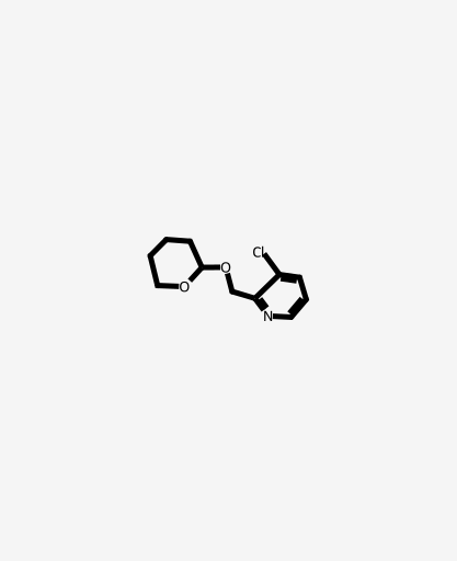 Clc1cccnc1COC1CCCCO1